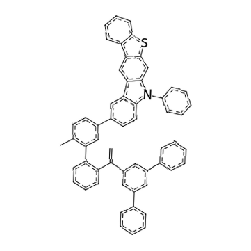 C=C(c1cc(-c2ccccc2)cc(-c2ccccc2)c1)c1ccccc1-c1cc(-c2ccc3c(c2)c2cc4c(cc2n3-c2ccccc2)sc2ccccc24)ccc1C